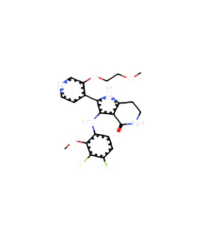 COCCOc1cnccc1-c1[nH]c2c(c1Nc1ccc(F)c(F)c1OC)C(=O)NCC2